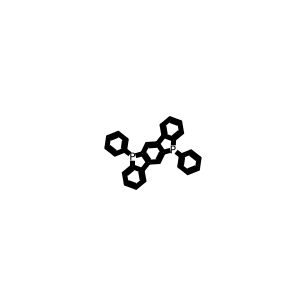 c1ccc(-p2c3ccccc3c3cc4c(cc32)c2ccccc2p4-c2ccccc2)cc1